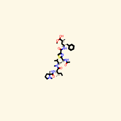 CC[C@H](C)[C@H](NC(=O)[C@@]1(C)CCCN1C)C(=O)N(C)[C@H](C[C@@H](NC(C)=O)c1nc(C(=O)N[C@@H](Cc2ccccc2)C[C@H](C)C(O)OC)cs1)C(C)C